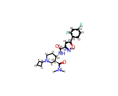 CN(C)C(=O)[C@H]1CN(C2CCC2)CC[C@@H]1NC(=O)c1cc(-c2ccc(F)cc2F)on1